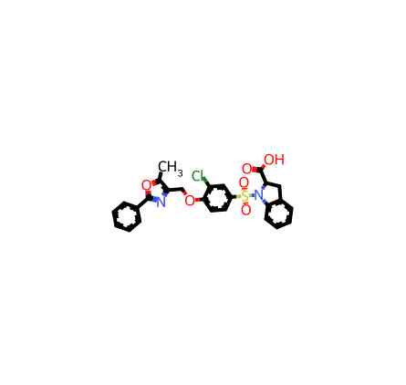 Cc1oc(-c2ccccc2)nc1COc1ccc(S(=O)(=O)N2c3ccccc3CC2C(=O)O)cc1Cl